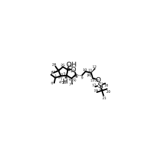 CC(C)[C@]1(C)[C@H]2[C@H](C)[C@@H](CC[C@@H](C)CO[Si](C)(C)C(C)(C)C)O[C@@]2(O)CC1(C)C